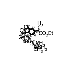 CCOC(=O)C(C)c1ccc(C2(N(COCC[Si](C)(C)C)[S+]([O-])C(C)(C)C)COC2)c(Cl)c1